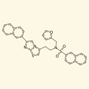 O=S(=O)(c1ccc2ccccc2c1)N(CCc1csc2nc(-c3ccc4ccccc4c3)cn12)Cc1ccco1